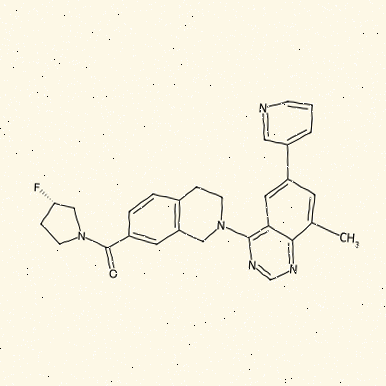 Cc1cc(-c2cccnc2)cc2c(N3CCc4ccc(C(=O)N5CC[C@H](F)C5)cc4C3)ncnc12